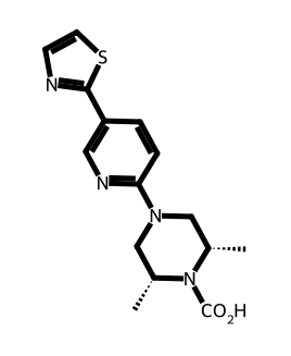 C[C@@H]1CN(c2ccc(-c3nccs3)cn2)C[C@H](C)N1C(=O)O